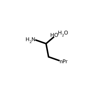 CCCCC(N)O.O